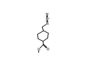 COC(=O)C1CCC(CN=[N+]=[N-])CC1